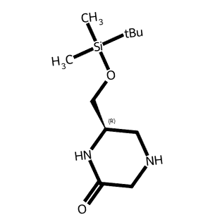 CC(C)(C)[Si](C)(C)OC[C@H]1CNCC(=O)N1